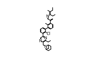 C=C(/C=N\C(CC)=C(/C)CC)c1cccc(-c2cccc(-c3cnc(CN4C5CCCC4C5)c(CC)n3)c2Cl)c1C